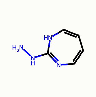 NNC1=NC=CC=CN1